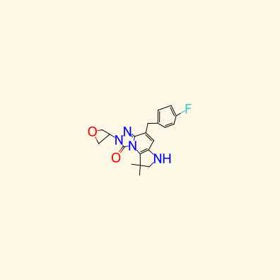 CC1(C)CNc2cc(Cc3ccc(F)cc3)c3nn(C4COC4)c(=O)n3c21